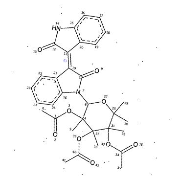 CC(=O)OC1(C)C(N2C(=O)/C(=C3/C(=O)Nc4ccccc43)c3ccccc32)OC(C)(C)C(C)(OC(C)=O)C1(C)OC(C)=O